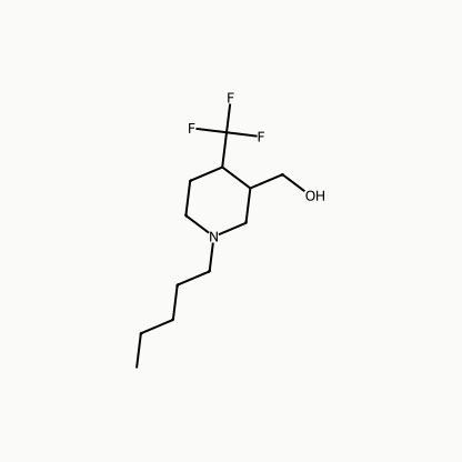 CCCCCN1CCC(C(F)(F)F)C(CO)C1